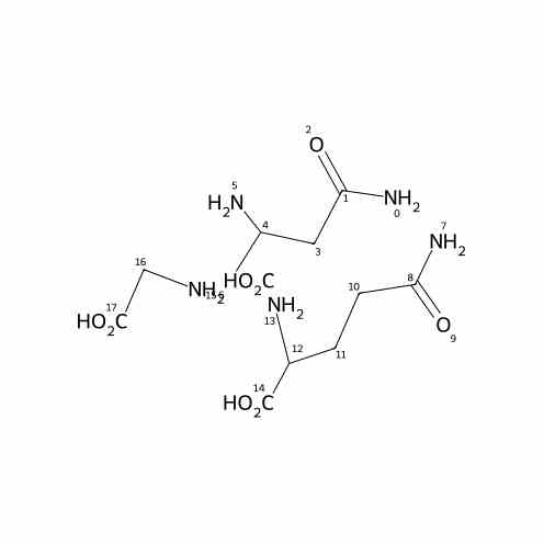 NC(=O)CC(N)C(=O)O.NC(=O)CCC(N)C(=O)O.NCC(=O)O